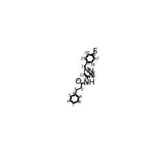 O=C(CCc1ccccc1)Nc1cn(Cc2ccc(F)cc2)nn1